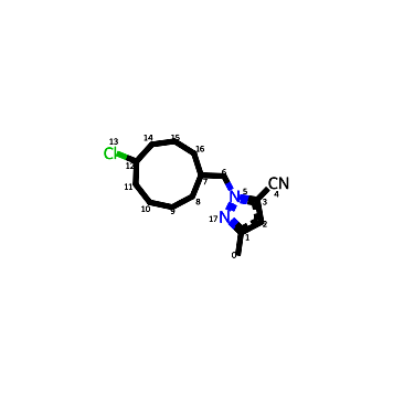 Cc1cc(C#N)n(CC2CCCCC(Cl)CCC2)n1